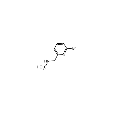 O=C(O)NCc1cccc(Br)n1